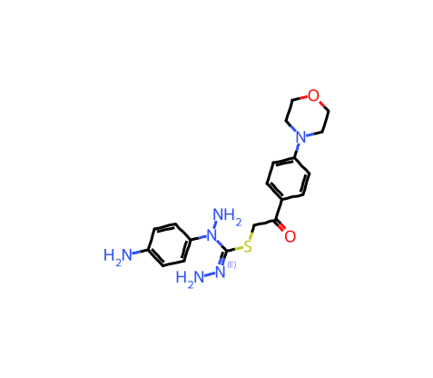 N/N=C(/SCC(=O)c1ccc(N2CCOCC2)cc1)N(N)c1ccc(N)cc1